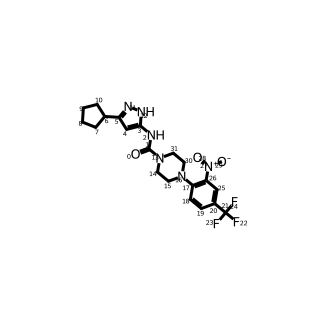 O=C(Nc1cc(C2CCCC2)n[nH]1)N1CCN(c2ccc(C(F)(F)F)cc2[N+](=O)[O-])CC1